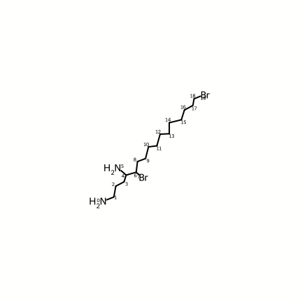 NCCCC(N)C(Br)CCCCCCCCCCCBr